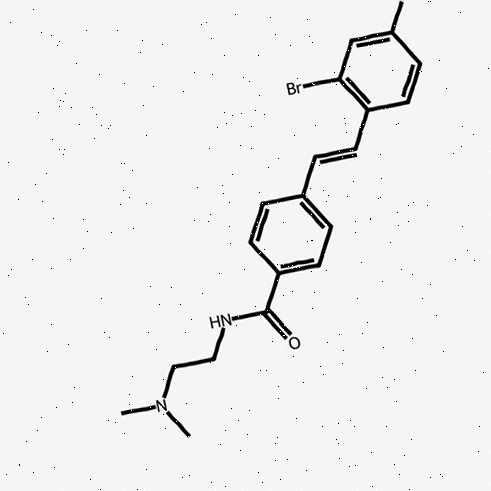 CN(C)CCNC(=O)c1ccc(/C=C/c2ccc(Br)cc2Br)cc1